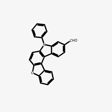 O=Cc1ccc2c3c4c(ccc3n(-c3ccccc3)c2c1)oc1ccccc14